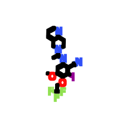 COc1cc(N=C(C)N2CCc3ncccc3C2)c(C#N)c(I)c1OCC(F)(F)F